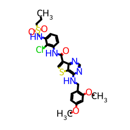 CCCS(=O)(=O)Nc1cccc(NC(=O)c2csc3c(NCc4ccc(OC)cc4OC)ncnc23)c1Cl